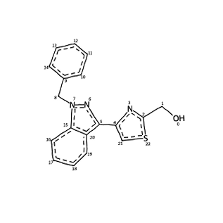 OCc1nc(-c2nn(Cc3ccccc3)c3ccccc23)cs1